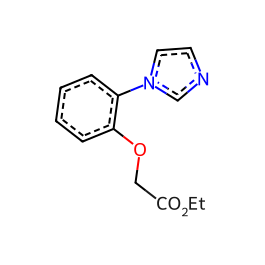 CCOC(=O)COc1ccccc1-n1ccnc1